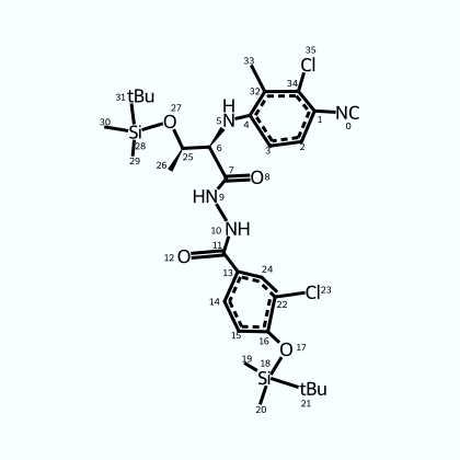 [C-]#[N+]c1ccc(N[C@@H](C(=O)NNC(=O)c2ccc(O[Si](C)(C)C(C)(C)C)c(Cl)c2)[C@@H](C)O[Si](C)(C)C(C)(C)C)c(C)c1Cl